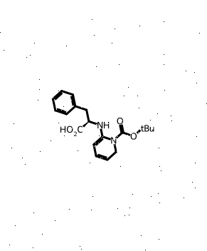 CC(C)(C)OC(=O)N1CC=CC=C1N[C@H](Cc1ccccc1)C(=O)O